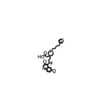 COc1ccc2ncc(Cl)c(C(F)CCC3(CC(=O)O)CCN(CCCCc4ccsc4)CC3)c2c1